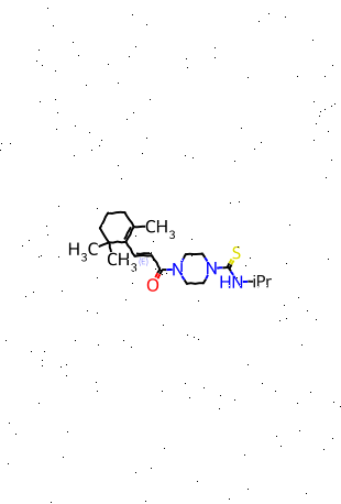 CC1=C(/C=C/C(=O)N2CCN(C(=S)NC(C)C)CC2)C(C)(C)CCC1